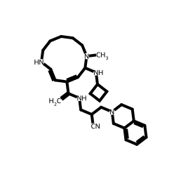 C=C(NCC(C#N)CN1CCc2ccccc2C1)C1=C/C(NC2CCC2)N(C)CCCCCN\C=C\1